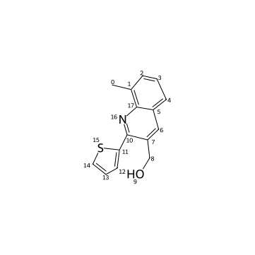 Cc1cccc2cc(CO)c(-c3cccs3)nc12